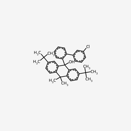 CC(C)(C)c1ccc2c(c1)C(O)(c1ccccc1-c1cccc(Cl)c1)c1cc(C(C)(C)C)ccc1C2(C)C